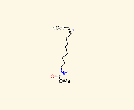 CCCCCCCC/C=C\CCCCCCCNC(=O)OC